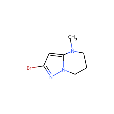 CN1CCCn2nc(Br)cc21